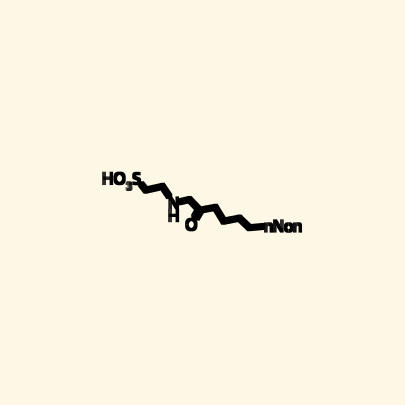 CCCCCCCCCCCCCC(=O)CNCCS(=O)(=O)O